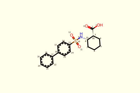 O=C(O)[C@@H]1CCCC[C@@H]1NS(=O)(=O)c1ccc(-c2ccccc2)cc1